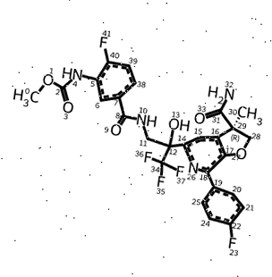 COC(=O)Nc1cc(C(=O)NCC(O)(c2cc3c(c(-c4ccc(F)cc4)n2)OC[C@]3(C)C(N)=O)C(F)(F)F)ccc1F